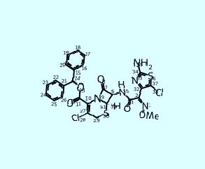 CO/N=C(\C(=O)N[C@@H]1C(=O)N2C(C(=O)OC(c3ccccc3)c3ccccc3)=C(Cl)CS[C@H]12)c1nc(N)sc1Cl